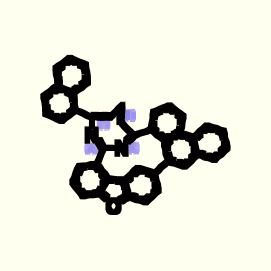 C1=C/C(c2ccccc2)=N\C(c2cccc3oc4ccc(-c5ccc6ccccc6c5)cc4c23)=N/C(c2cccc3ccccc23)=C/1